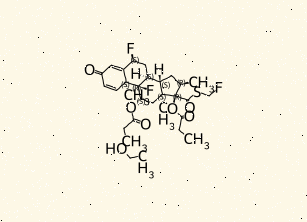 CCC(=O)O[C@H]1C[C@@]2(C)[C@@H](C[C@@H](C)[C@]2(OC(=O)CC)C(=O)SCF)[C@@H]2C[C@H](F)C3=CC(=O)C=C[C@]3(C)[C@@]12F.CCO